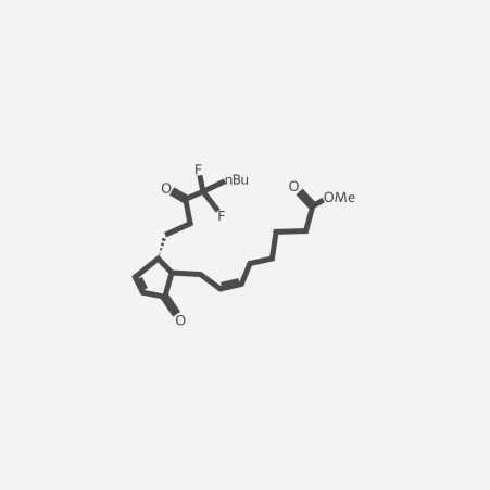 CCCCC(F)(F)C(=O)CC[C@H]1C=CC(=O)C1C/C=C\CCCCC(=O)OC